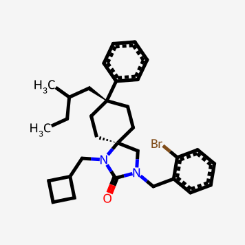 CCC(C)C[C@]1(c2ccccc2)CC[C@]2(CC1)CN(Cc1ccccc1Br)C(=O)N2CC1CCC1